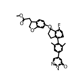 COC(=O)CC1COc2cc(O[C@@H]3CCc4c(-c5c(C)cc(-c6cnn(C)c(=O)c6)cc5C)ccc(F)c43)ccc21